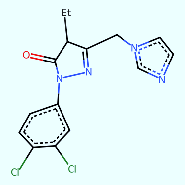 CCC1C(=O)N(c2ccc(Cl)c(Cl)c2)N=C1Cn1ccnc1